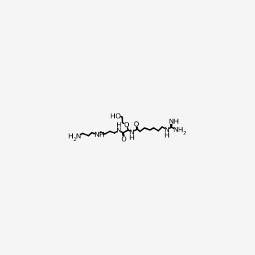 N=C(N)NCCCCCCC(=O)NC(OCCO)C(=O)NCCCCNCCCN